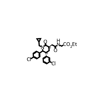 CCOC(=O)CNC(=O)C[C@H]1C[C@H](c2cccc(Cl)c2)C(c2ccc(Cl)cc2)N(CC2CC2)C1=O